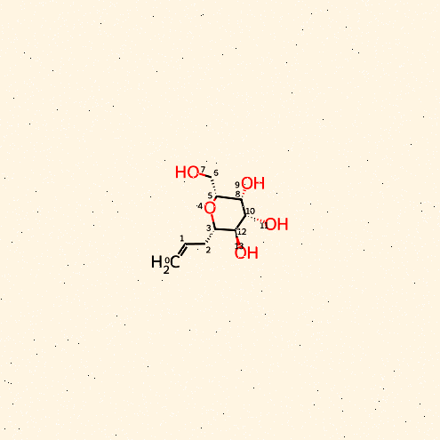 C=CC[C@@H]1O[C@H](CO)[C@H](O)[C@H](O)[C@H]1O